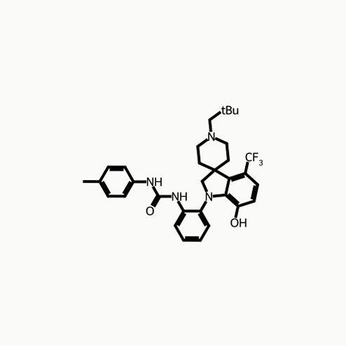 Cc1ccc(NC(=O)Nc2ccccc2N2CC3(CCN(CC(C)(C)C)CC3)c3c(C(F)(F)F)ccc(O)c32)cc1